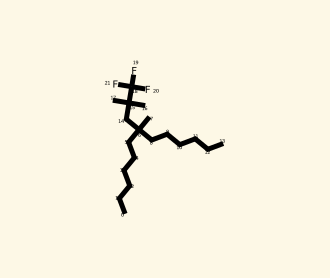 CCCCCCC(C)(CCCCCC)CC(C)(C)C(F)(F)F